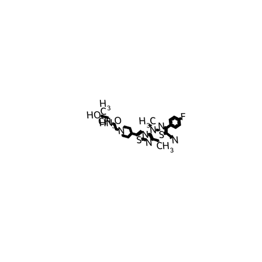 CCc1nc2sc(C3CCN(CC(=O)NCC(C)(C)O)CC3)cn2c1N(CC)c1nc(-c2ccc(F)cc2)c(C#N)s1